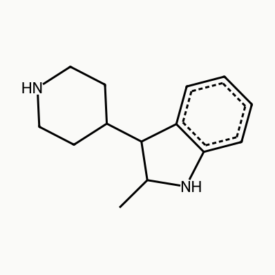 CC1Nc2ccccc2C1C1CCNCC1